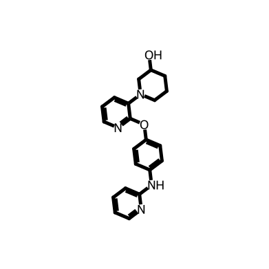 OC1CCCN(c2cccnc2Oc2ccc(Nc3ccccn3)cc2)C1